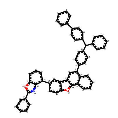 c1ccc(-c2ccc(C(c3ccccc3)c3ccc(-c4cc5c6cc(-c7cccc8oc(-c9ccccc9)nc78)ccc6oc5c5ccccc45)cc3)cc2)cc1